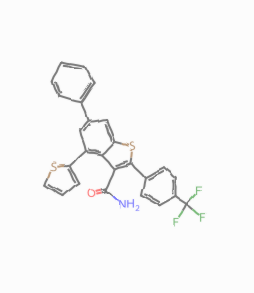 NC(=O)c1c(-c2ccc(C(F)(F)F)cc2)sc2cc(-c3ccccc3)cc(-c3cccs3)c12